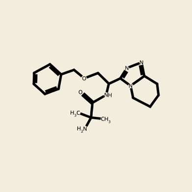 CC(C)(N)C(=O)NC(COCc1ccccc1)c1nnc2n1CCCC2